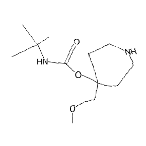 COCC1(OC(=O)NC(C)(C)C)CCNCC1